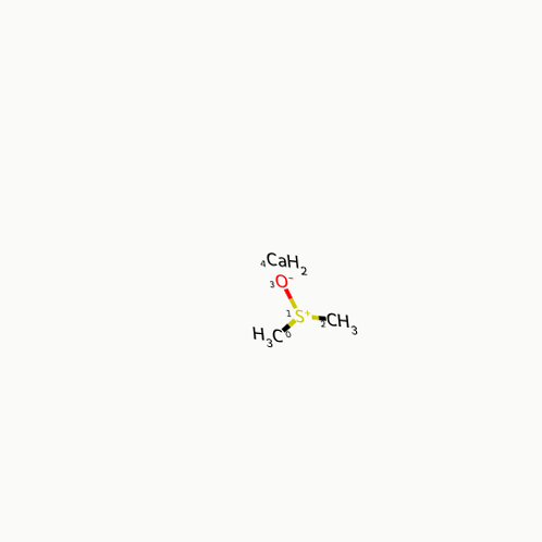 C[S+](C)[O-].[CaH2]